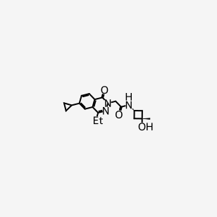 CCc1nn(CC(=O)N[C@H]2C[C@@](C)(O)C2)c(=O)c2ccc(C3CC3)cc12